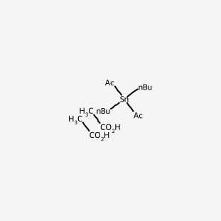 CC(=O)O.CC(=O)O.CCC[CH2][Sn]([CH2]CCC)([C](C)=O)[C](C)=O